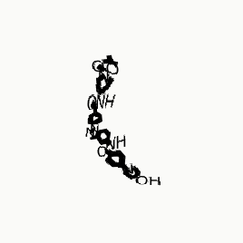 CC(C)(C)OC(=O)N1CCC(NC(=O)c2ccc(-n3ncc4cc(NC(=O)c5ccc(N6CCC(O)CC6)cc5)ccc43)cc2)CC1